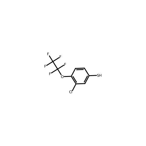 FC(F)(F)C(F)(F)Oc1ccc(S)cc1Cl